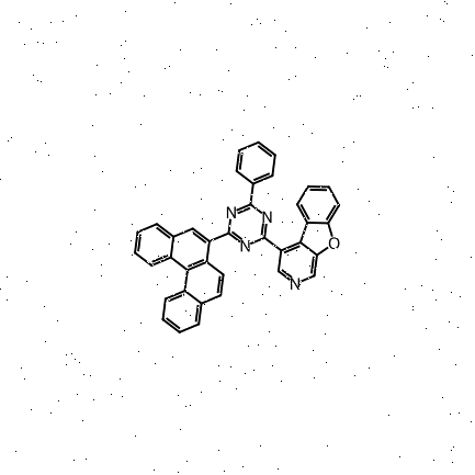 c1ccc(-c2nc(-c3cc4ccccc4c4c3ccc3ccccc34)nc(-c3cncc4oc5ccccc5c34)n2)cc1